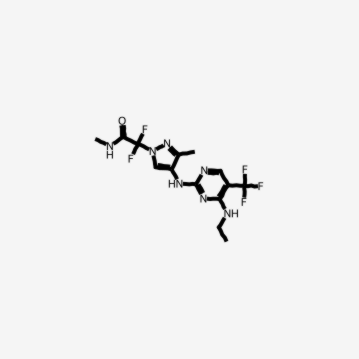 CCNc1nc(Nc2cn(C(F)(F)C(=O)NC)nc2C)ncc1C(F)(F)F